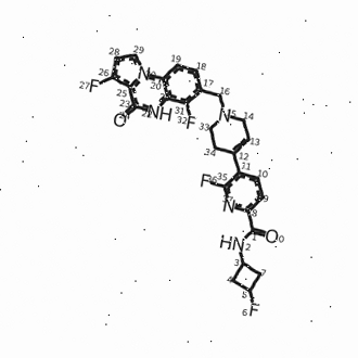 O=C(NC1CC(F)C1)c1ccc(C2=CCN(Cc3ccc4c([nH]c(=O)c5c(F)ccn54)c3F)CC2)c(F)n1